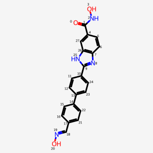 O=C(NO)c1ccc2nc(-c3ccc(-c4ccc(C=NO)cc4)cc3)[nH]c2c1